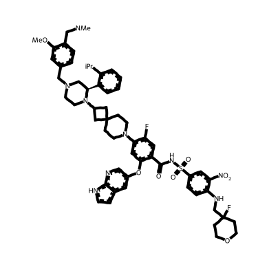 CNCc1ccc(CN2CCN(C3CC4(CCN(c5cc(Oc6cnc7[nH]ccc7c6)c(C(=O)NS(=O)(=O)c6ccc(NCC7(F)CCOCC7)c([N+](=O)[O-])c6)cc5F)CC4)C3)[C@H](c3ccccc3C(C)C)C2)cc1OC